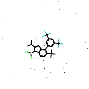 CC(C)C1=Cc2c(ccc(C(C)(C)C)c2-c2cc(C(F)(F)F)cc(C(F)(F)F)c2)[CH]1[Zr]([Cl])[Cl]